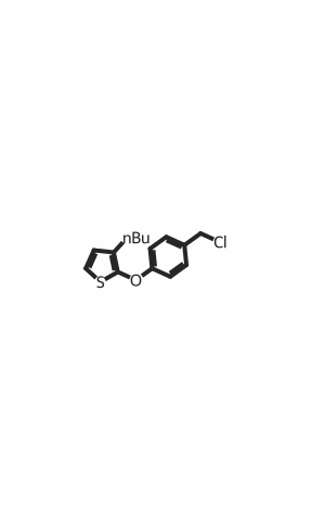 CCCCc1ccsc1Oc1ccc(CCl)cc1